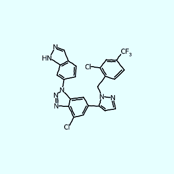 FC(F)(F)c1ccc(Cn2nccc2-c2cc(Cl)c3nnn(-c4ccc5cn[nH]c5c4)c3c2)c(Cl)c1